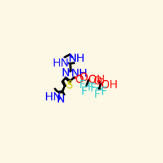 Cc1[nH]ncc1-c1cc2nc(C3CNCCN3)[nH]c(=O)c2s1.O=C(O)C(F)(F)F.O=C(O)C(F)(F)F